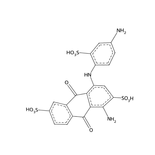 Nc1ccc(Nc2cc(S(=O)(=O)O)c(N)c3c2C(=O)c2cc(S(=O)(=O)O)ccc2C3=O)c(S(=O)(=O)O)c1